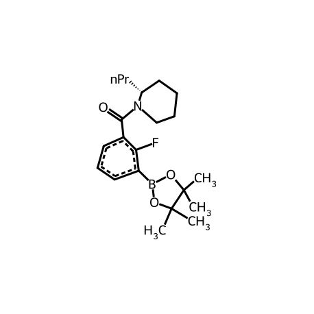 CCC[C@@H]1CCCCN1C(=O)c1cccc(B2OC(C)(C)C(C)(C)O2)c1F